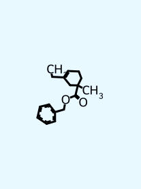 CCC1=CCCC(C)(C(=O)OCc2ccccc2)C1